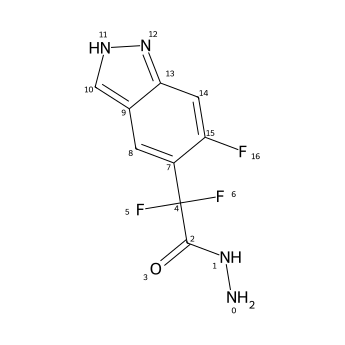 NNC(=O)C(F)(F)c1cc2c[nH]nc2cc1F